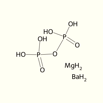 O=P(O)(O)OP(=O)(O)O.[BaH2].[MgH2]